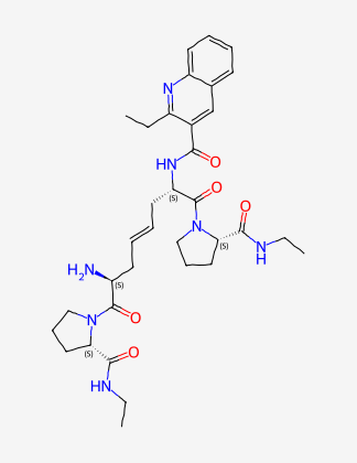 CCNC(=O)[C@@H]1CCCN1C(=O)[C@H](CC=CC[C@H](N)C(=O)N1CCC[C@H]1C(=O)NCC)NC(=O)c1cc2ccccc2nc1CC